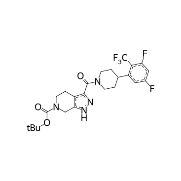 CC(C)(C)OC(=O)N1CCc2c(C(=O)N3CCC(c4cc(F)cc(F)c4C(F)(F)F)CC3)n[nH]c2C1